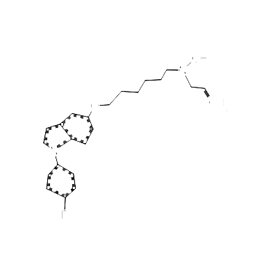 C=CCN(C)CCCCCCOc1ccc2c(ccn2-c2ccc(F)cc2)c1